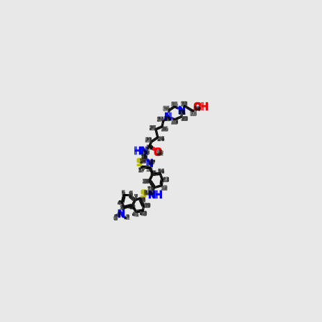 CN(C)c1cccc2c(SNc3cccc(-c4csc(NC(=O)CCCCCN5CCN(CCO)CC5)n4)c3)cccc12